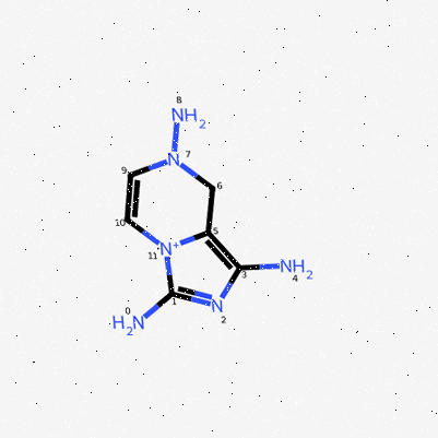 NC1=NC(N)=C2CN(N)C=C[N+]12